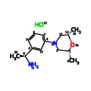 C[C@@H]1CN(c2cccc([C@H](C)N)c2)C[C@H](C)O1.Cl